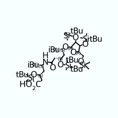 CC[C@H](C)[C@H](C[C@@H](CC(=O)O)O[Si](C)(C)C(C)(C)C)NC(=O)C[C@H](C[C@H](O[C@@H]1O[C@H](CO[Si](C)(C)C(C)(C)C)C(O[Si](C)(C)C(C)(C)C)C1O[Si](C)(C)C(C)(C)C)[C@@H](C)CC)O[Si](C)(C)C(C)(C)C